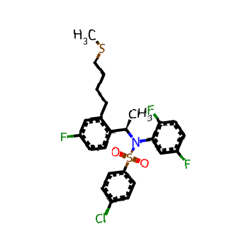 CSCCCCc1cc(F)ccc1[C@@H](C)N(c1cc(F)ccc1F)S(=O)(=O)c1ccc(Cl)cc1